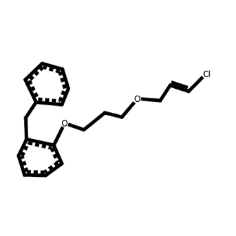 ClC=CCOCCCOc1ccccc1Cc1ccccc1